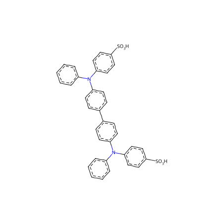 O=S(=O)(O)c1ccc(N(c2ccccc2)c2ccc(-c3ccc(N(c4ccccc4)c4ccc(S(=O)(=O)O)cc4)cc3)cc2)cc1